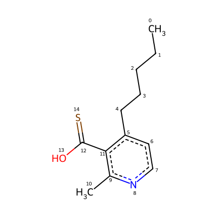 CCCCCc1ccnc(C)c1C(O)=S